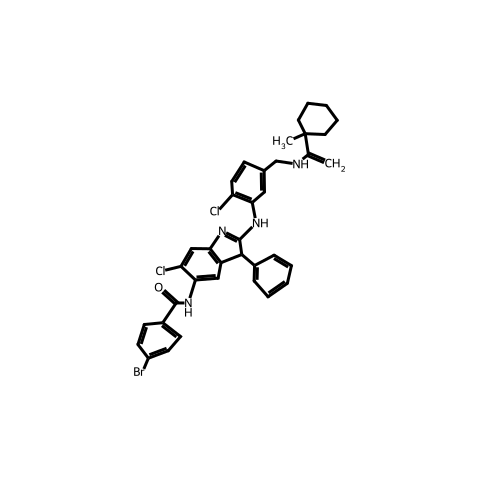 C=C(NCc1ccc(Cl)c(NC2=Nc3cc(Cl)c(NC(=O)c4ccc(Br)cc4)cc3C2c2ccccc2)c1)C1(C)CCCCC1